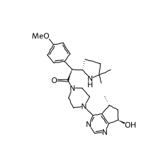 COc1ccc([C@H](C(=O)N2CCN(c3ncnc4c3[C@H](C)C[C@H]4O)CC2)[C@@H]2CCC(C)(C)N2)cc1